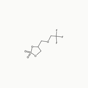 O=S1(=O)OCC(COCC(F)(F)F)O1